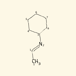 CC=NC1CCCCC1